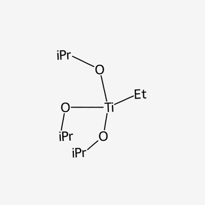 C[CH2][Ti]([O]C(C)C)([O]C(C)C)[O]C(C)C